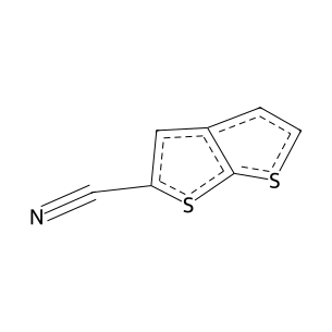 N#Cc1cc2ccsc2s1